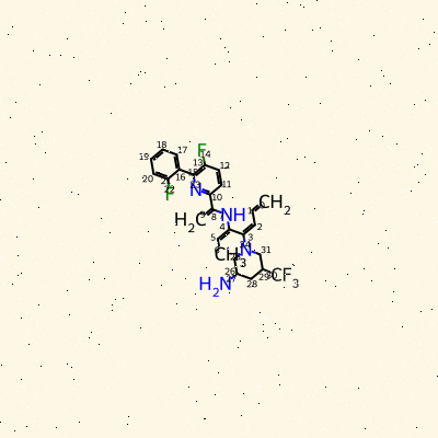 C=C/C=C(\C(=C/C)NC(=C)c1ccc(F)c(-c2ccccc2F)n1)N1CC(N)CC(C(F)(F)F)C1